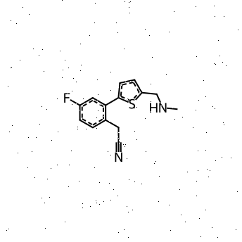 CNCc1ccc(-c2cc(F)ccc2CC#N)s1